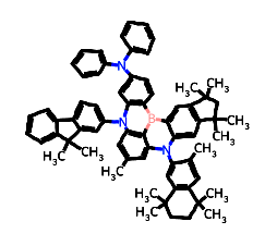 Cc1cc2c3c(c1)N(c1cc4c(cc1C)C(C)(C)CCC4(C)C)c1cc4c(cc1B3c1ccc(N(c3ccccc3)c3ccccc3)cc1N2c1ccc2c(c1)C(C)(C)c1ccccc1-2)C(C)(C)CC4(C)C